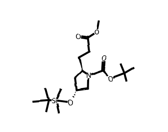 COC(=O)CC[C@@H]1C[C@@H](O[Si](C)(C)C(C)(C)C)CN1C(=O)OC(C)(C)C